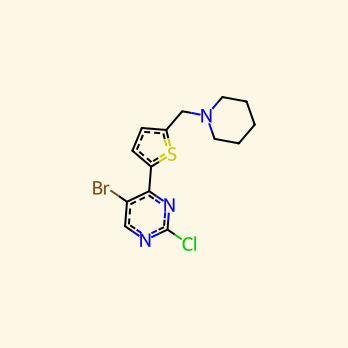 Clc1ncc(Br)c(-c2ccc(CN3CCCCC3)s2)n1